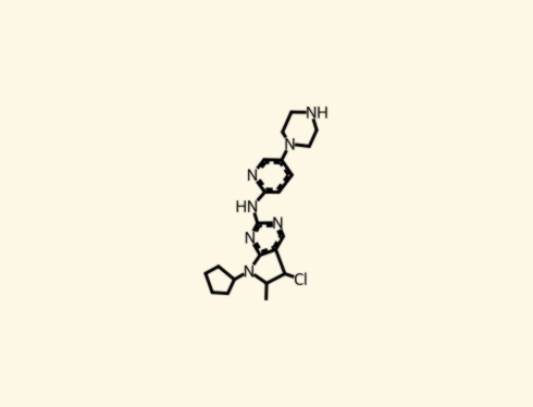 CC1C(Cl)c2cnc(Nc3ccc(N4CCNCC4)cn3)nc2N1C1CCCC1